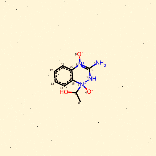 CC(O)[N+]1([O-])NC(N)=[N+]([O-])c2ccccc21